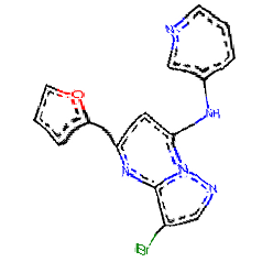 Brc1cnn2c(Nc3cccnc3)cc(-c3ccco3)nc12